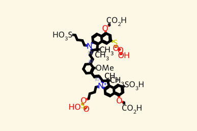 COC1=C(/C=C/C2=[N+](CCCCOS(=O)O)c3ccc4c(OCC(=O)O)cc(S(=O)(=O)O)cc4c3C2(C)C)CCC/C1=C\C=C1\N(CCCCS(=O)(=O)O)c2ccc3c(OCC(=O)O)cc(SOOO)cc3c2C1(C)C